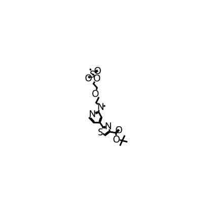 CN(CCOCCOS(C)(=O)=O)c1cc(-c2nc(C(=O)OC(C)(C)C)cs2)ccn1